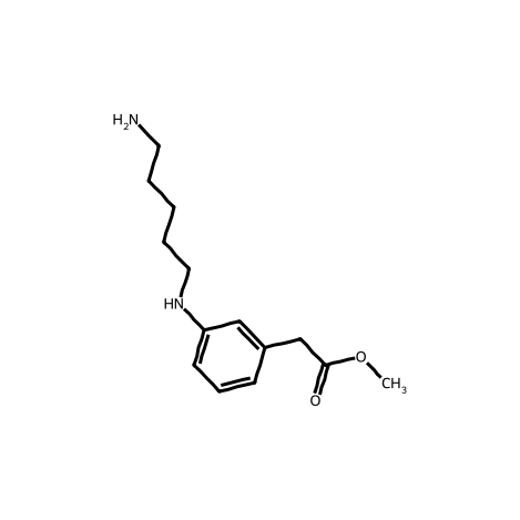 COC(=O)Cc1cccc(NCCCCCN)c1